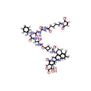 CC[C@@]1(O)C(=O)OCc2c1cc1n(c2=O)Cc2c-1nc1cc(F)c(C)c3c1c2[C@@H](NC(=O)[C@H]1C[C@H](OCNC(=O)CNC(=O)[C@H](Cc2ccccc2)NC(=O)CNC(=O)CNC(=O)CCCCCN2C(=O)C=CC2=O)C1)CC3